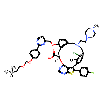 Cc1c2ccc(c1Cl)CN(CCN1CCN(C)CC1)Cc1ccc(OCc3ccnc(-c4ccc(OCOCC[Si](C)(C)C)cc4)n3)c(c1)C[C@H](C(=O)O)Oc1ncnc3sc(-c4ccc(F)cc4)c-2c13